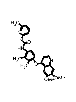 COc1cc2nccc(Oc3ccc(NC(=O)Nc4cccc(C)n4)c(C)c3C)c2cc1OC